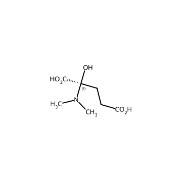 CN(C)[C@@](O)(CCC(=O)O)C(=O)O